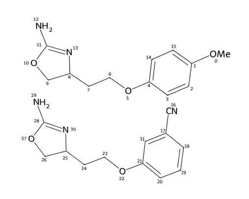 COc1ccc(OCCC2COC(N)=N2)cc1.N#Cc1cccc(OCCC2COC(N)=N2)c1